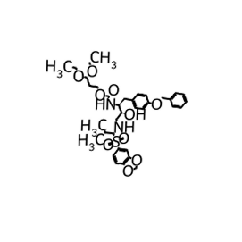 CCOC(CCOC(=O)N[C@@H](Cc1ccc(OCc2ccccc2)cc1)[C@H](O)CNC(C(C)C)S(=O)(=O)c1ccc2c(c1)OCO2)OCC